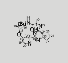 C[C@H](C(O)NC(C)(C)C)N(C)c1nc(-c2cc(OC3COC3)ccn2)nc2c1CCC2